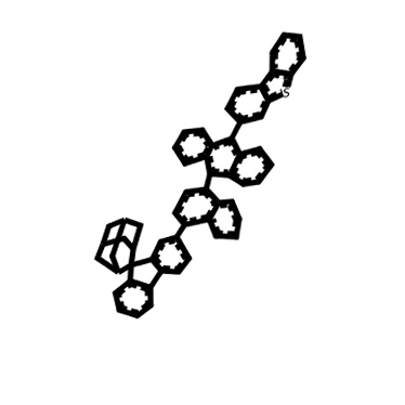 c1ccc2c(c1)-c1ccc(-c3ccc(-c4c5ccccc5c(-c5ccc6c(c5)sc5ccccc56)c5ccccc45)c4ccccc34)cc1C21C2CC3CC(C2)CC1C3